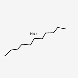 [CH2]CCCCCCCCCC.[NaH]